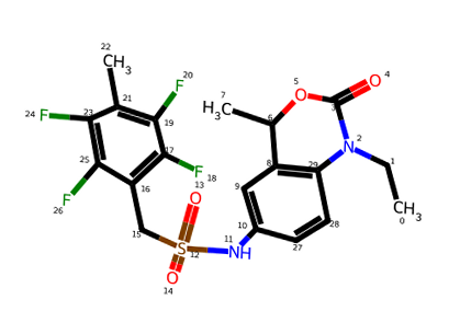 CCN1C(=O)OC(C)c2cc(NS(=O)(=O)Cc3c(F)c(F)c(C)c(F)c3F)ccc21